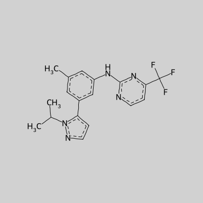 Cc1cc(Nc2nccc(C(F)(F)F)n2)cc(-c2ccnn2C(C)C)c1